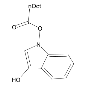 CCCCCCCCC(=O)On1cc(O)c2ccccc21